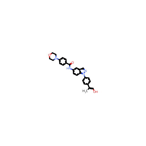 C/C(=C\O)c1ccc(-n2ncc3cc(NC(=O)c4ccc(N5CCOCC5)cc4)ccc32)cc1